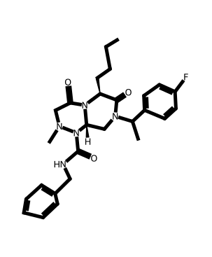 CCCC[C@H]1C(=O)N(C(C)c2ccc(F)cc2)C[C@H]2N1C(=O)CN(C)N2C(=O)NCc1ccccc1